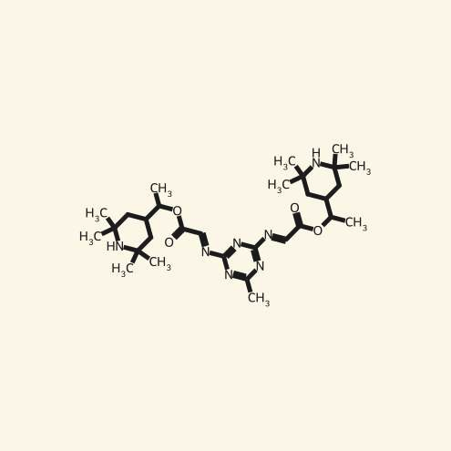 Cc1nc(/N=C/C(=O)OC(C)C2CC(C)(C)NC(C)(C)C2)nc(/N=C/C(=O)OC(C)C2CC(C)(C)NC(C)(C)C2)n1